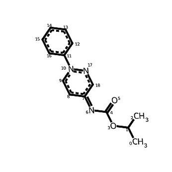 CC(C)OC(=O)/N=c1/ccn(-c2ccccc2)nc1